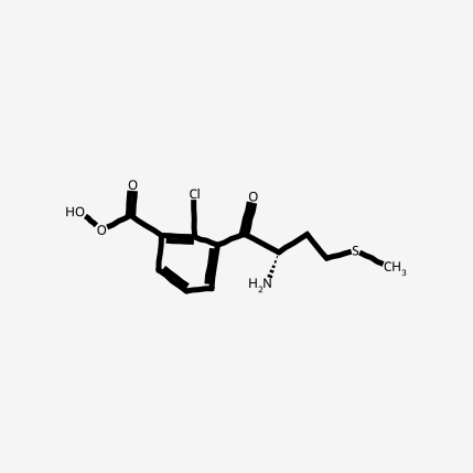 CSCC[C@H](N)C(=O)c1cccc(C(=O)OO)c1Cl